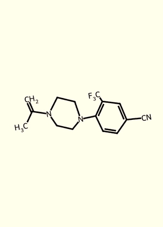 C=C(C)N1CCN(c2ccc(C#N)cc2C(F)(F)F)CC1